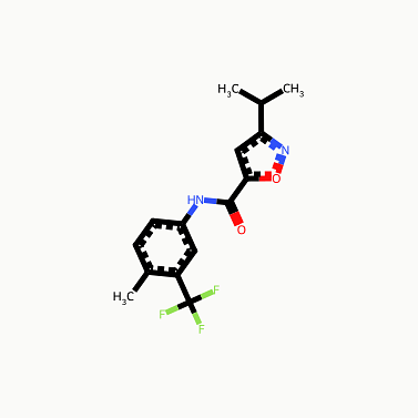 Cc1ccc(NC(=O)c2cc(C(C)C)no2)cc1C(F)(F)F